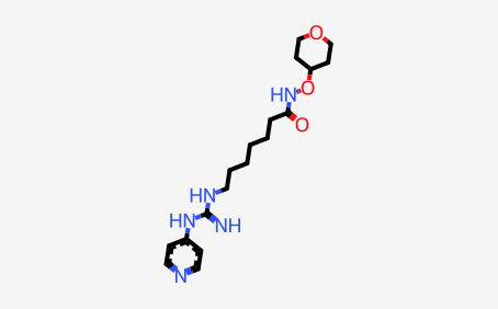 N=C(NCCCCCCC(=O)NOC1CCOCC1)Nc1ccncc1